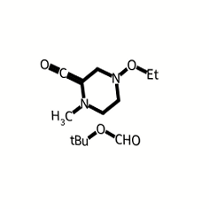 CC(C)(C)OC=O.CCON1CCN(C)C(=C=O)C1